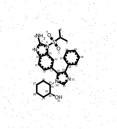 CC(C)S(=O)(=O)n1c(N)nc2ccc(-c3c(-c4ccccc4)ncn3[C@H]3CCCC[C@@H]3O)cc21